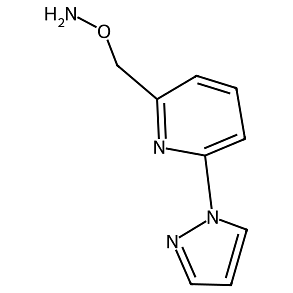 NOCc1cccc(-n2cccn2)n1